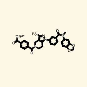 COC(=O)c1ccc(C(=O)N2CCc3c(c(C(F)(F)F)nn3-c3cccc(C(=O)N(C)c4ccc5c(c4)OCO5)c3)C2)cc1